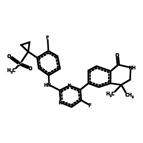 CC1(C)CNC(=O)c2ccc(-c3nc(Nc4ccc(F)c(C5(S(C)(=O)=O)CC5)c4)ncc3F)cc21